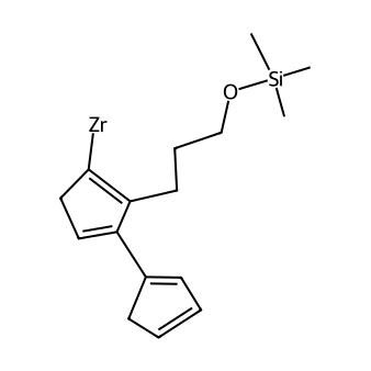 C[Si](C)(C)OCCCC1=[C]([Zr])CC=C1C1=CC=CC1